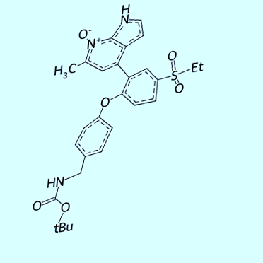 CCS(=O)(=O)c1ccc(Oc2ccc(CNC(=O)OC(C)(C)C)cc2)c(-c2cc(C)[n+]([O-])c3[nH]ccc23)c1